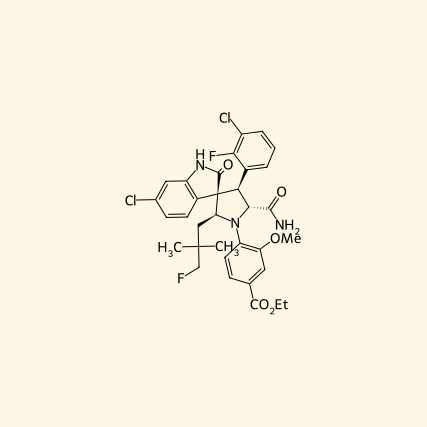 CCOC(=O)c1ccc(N2[C@@H](CC(C)(C)CF)[C@@]3(C(=O)Nc4cc(Cl)ccc43)[C@@H](c3cccc(Cl)c3F)[C@@H]2C(N)=O)c(OC)c1